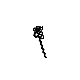 CCCCCCCCCCC(=O)C1=CC=CC(S(=O)(=O)O)C1=O